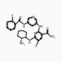 NC(=O)c1cc(F)c(NC2CCCC[C@@H]2N)nc1Nc1cncc(NC(=O)c2ccccc2F)c1